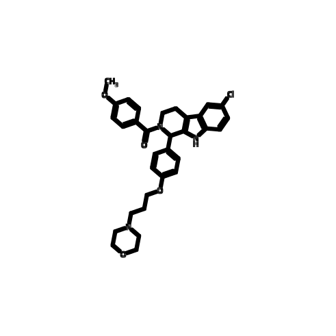 COc1ccc(C(=O)N2CCc3c([nH]c4ccc(Cl)cc34)C2c2ccc(OCCCN3CCOCC3)cc2)cc1